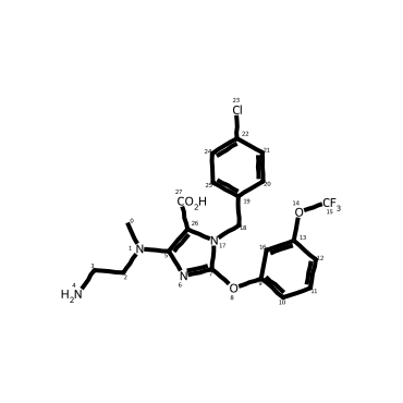 CN(CCN)c1nc(Oc2cccc(OC(F)(F)F)c2)n(Cc2ccc(Cl)cc2)c1C(=O)O